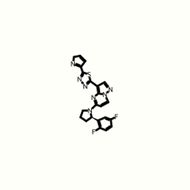 Fc1ccc(F)c([C@H]2CCCN2c2ccn3ncc(-c4nnc(C5=NCC=C5)s4)c3n2)c1